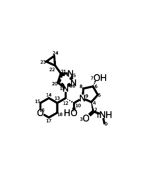 CNC(=O)[C@@H]1C[C@@H](O)CN1C(O)[C@H](C1CCOCC1)n1cc(C2CC2)nn1